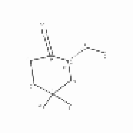 CC[C@@H]1CC(C)(C)CCC1=O